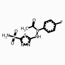 CC(=O)N(Nc1nnc(S(N)(=O)=O)s1)c1ccc(F)cc1